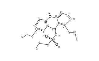 CCCc1ccc2c(c1)N(OS(=O)(=O)CCC)c1c(CCC)cccc1O2